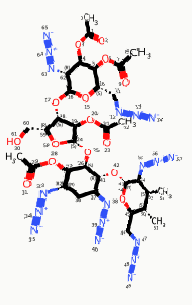 CC(=O)OC1C(OC(C)=O)[C@H](CN=[N+]=[N-])OC(O[C@@H]2C(OC(C)=O)[C@H](O[C@@H]3C(OC(C)=O)[C@H](N=[N+]=[N-])CC(N=[N+]=[N-])[C@H]3O[C@H]3OC(CN=[N+]=[N-])[C@@H](C)[C@H](C)C3N=[N+]=[N-])O[C@@H]2CO)[C@@H]1N=[N+]=[N-]